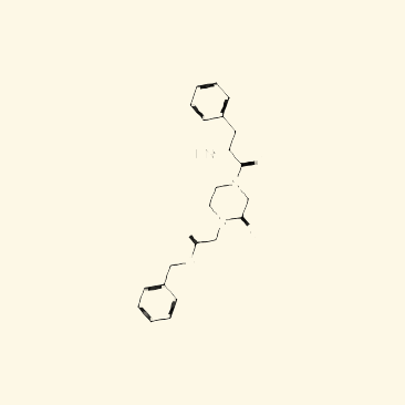 N[C@H](Cc1ccccc1)C(=O)N1CCN(CC(=O)OCc2ccccc2)C(=O)C1